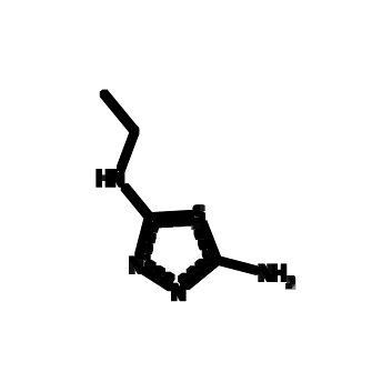 CCNc1nnc(N)s1